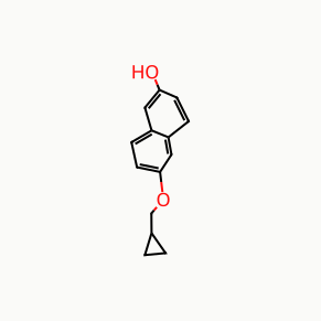 Oc1ccc2cc(OCC3CC3)ccc2c1